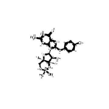 B[PH]1(O)OC[C@H]2O[C@@H](n3c(Sc4ccc(Cl)cc4)nc4c(=O)[nH]c(N)nc43)[C@@H](O)[C@H]2O1